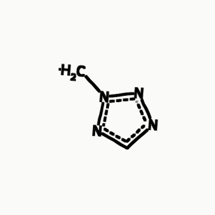 [CH2]n1ncnn1